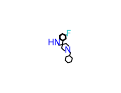 Fc1ccc2c(c1)C1(CCN(CC3CCCCC3)CC1)CN2